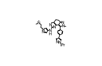 CC(C)n1cc(-c2ccc(-c3c4c(nn3C)CCc3cnc(Nc5cnn(CCN(C)C)c5)nc3-4)cc2)cn1